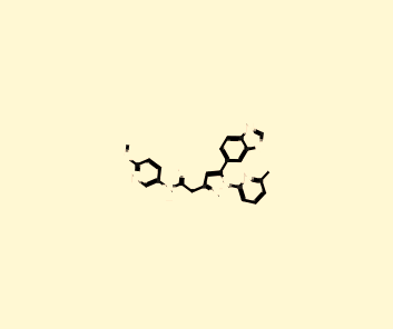 CSc1ccc(NC(=O)Cc2cc(-c3ccc4ncsc4c3)n(-c3cccc(C)n3)n2)cn1